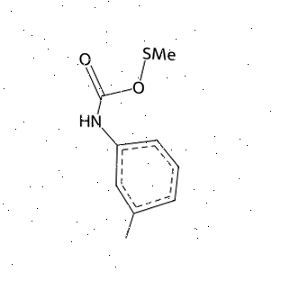 CSOC(=O)Nc1cccc(C)c1